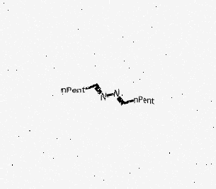 CCCCCC=NN=CCCCCC